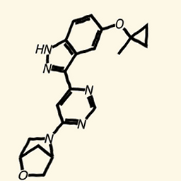 CC1(Oc2ccc3[nH]nc(-c4cc(N5CC6CC5CO6)ncn4)c3c2)CC1